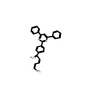 C=C(/C=C\C=C/N)c1ccc(-c2nc(-c3ccccc3)cc(-c3ccccc3)n2)cc1